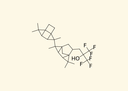 CC1(C)C2C3C4(CC(CC(O)(C(F)(F)F)C(F)(F)F)C21C4)C3(C)C1(C)C2C3C(C)(C)C34CCC214